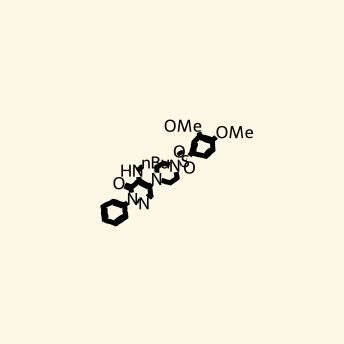 CCCCNc1c(N2CCN(S(=O)(=O)c3ccc(OC)c(OC)c3)CC2)cnn(-c2ccccc2)c1=O